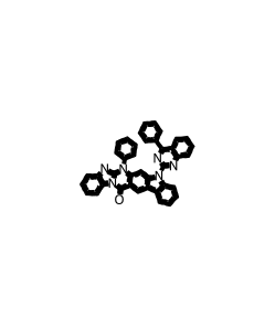 O=c1c2cc3c4ccccc4n(-c4nc(-c5ccccc5)c5ccccc5n4)c3cc2n(-c2ccccc2)c2nc3ccccc3n12